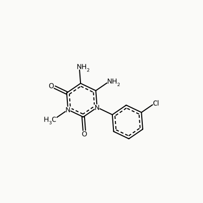 Cn1c(=O)c(N)c(N)n(-c2cccc(Cl)c2)c1=O